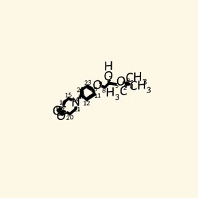 CC(C)(C)OCC(O)COc1ccc(N2CCS(=O)(=O)CC2)cc1